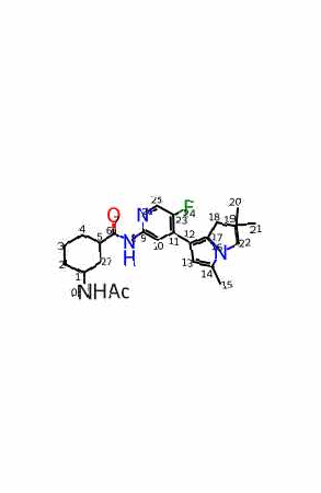 CC(=O)NC1CCCC(C(=O)Nc2cc(-c3cc(C)n4c3CC(C)(C)C4)c(F)cn2)C1